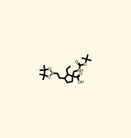 CCC1C(CCB2OC(C)(C)C(C)(C)O2)CCC1(CNC(=O)OC(C)(C)C)C(=O)O